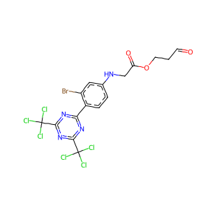 O=CCCOC(=O)CNc1ccc(-c2nc(C(Cl)(Cl)Cl)nc(C(Cl)(Cl)Cl)n2)c(Br)c1